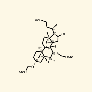 CC[C@H]1[C@@H](OCOC)[C@@H]2[C@H](CC[C@]3(C)[C@@H]([C@H](C)CCOC(C)=O)C(O)C[C@@H]23)[C@@]2(C)CC[C@@H](OCOC)C[C@@H]12